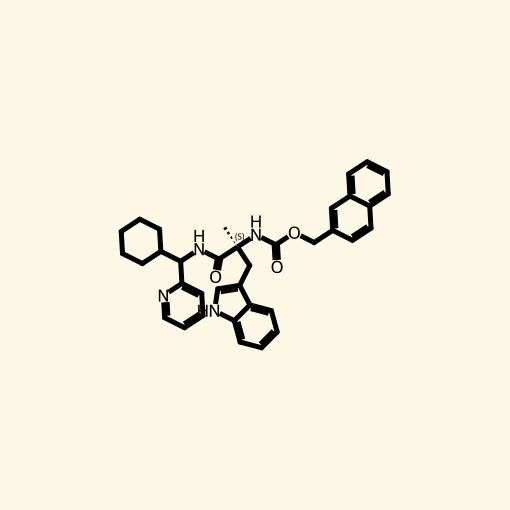 C[C@@](Cc1c[nH]c2ccccc12)(NC(=O)OCc1ccc2ccccc2c1)C(=O)NC(c1ccccn1)C1CCCCC1